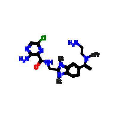 C=C(c1ccc2c(c1)n(CC)c(CNC(=O)c1nc(Cl)cnc1N)[n+]2CC)N(CCC)CCN